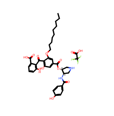 CCCCCCCCCCOc1cc(C(=O)O[C@@H]2CNC[C@H]2NC(=O)c2ccc(O)cc2)cc(O)c1C(=O)c1c(O)cccc1C(=O)O.O=C(O)C(F)(F)F